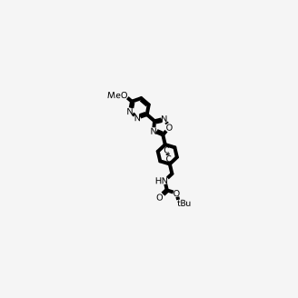 COc1ccc(-c2noc(C34CCC(CNC(=O)OC(C)(C)C)(CC3)CC4)n2)nn1